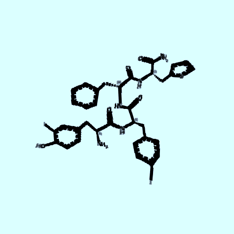 NC(=O)[C@H](Cc1cccs1)NC(=O)[C@@H](Cc1ccccc1)NC(=O)[C@@H](Cc1ccc(I)cc1)NC(=O)[C@@H](N)Cc1ccc(O)c(I)c1